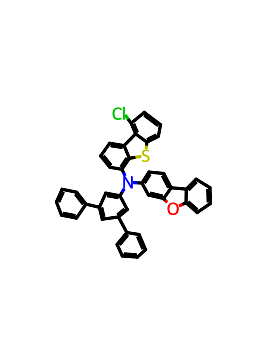 Clc1cccc2sc3c(N(c4cc(-c5ccccc5)cc(-c5ccccc5)c4)c4ccc5c(c4)oc4ccccc45)cccc3c12